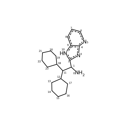 NC(c1nc2ncccc2[nH]1)C(C1CCCCC1)C1CCCCC1